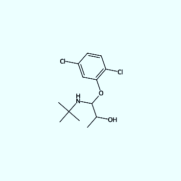 CC(O)C(NC(C)(C)C)Oc1cc(Cl)ccc1Cl